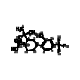 CC(C)(C)C1CC(c2ccc(C(F)(F)F)cc2O)CCN1C(=O)O